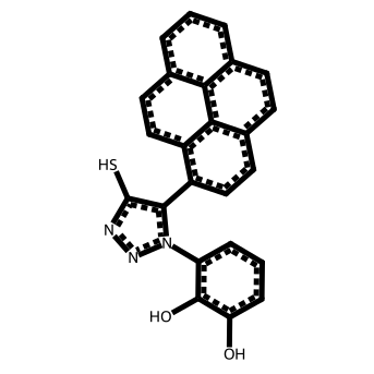 Oc1cccc(-n2nnc(S)c2-c2ccc3ccc4cccc5ccc2c3c45)c1O